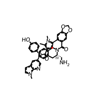 Cc1c(C(=O)N(c2ccc(O)cc2)c2cnc3c(ccn3C)c2)cc(-c2cc3c(cc2C(=O)N2Cc4ccccc4C[C@H]2CN)OCO3)n1C